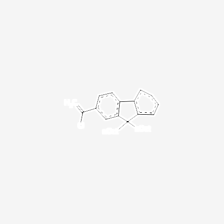 C=C(Cl)c1ccc2c(c1)C(CCCCCCCC)(CCCCCCCC)c1ccccc1-2